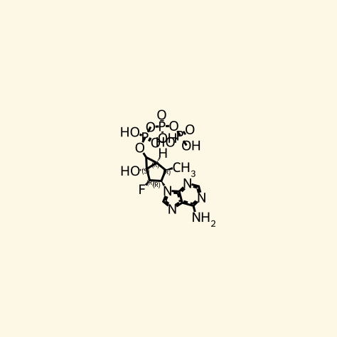 C[C@H]1[C@@H](n2cnc3c(N)ncnc32)[C@@H](F)[C@@]2(O)C(OP(=O)(O)OP(=O)(O)OP(=O)(O)O)[C@@H]12